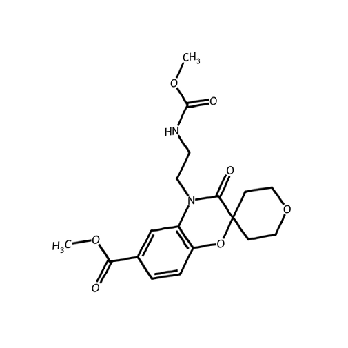 COC(=O)NCCN1C(=O)C2(CCOCC2)Oc2ccc(C(=O)OC)cc21